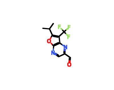 CC(C)c1oc2ncc(C=O)nc2c1C(F)(F)F